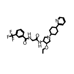 CCO[C@@H]1CN(C2CCC(c3ccccn3)CC2)C[C@@H]1NC(=O)CNC(=O)c1cccc(C(F)(F)F)c1